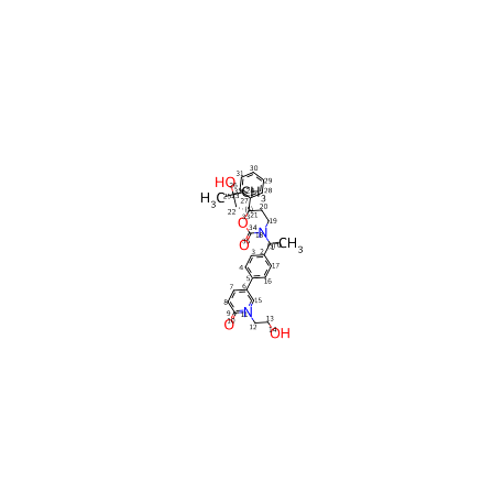 C[C@@H](c1ccc(-c2ccc(=O)n(CCO)c2)cc1)N1CC[C@](CC(C)(C)O)(c2ccccc2)OC1=O